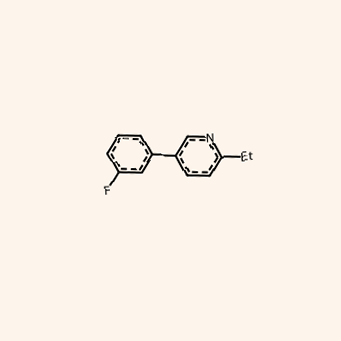 CCc1ccc(-c2cccc(F)c2)cn1